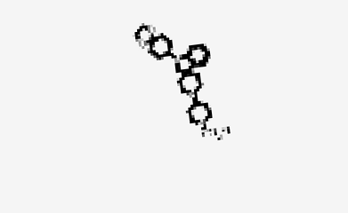 CCOC(=O)N1CCC(N2CCC3(CC2)CN(C2CCC4(CC2)OCCO4)c2ccccc23)CC1